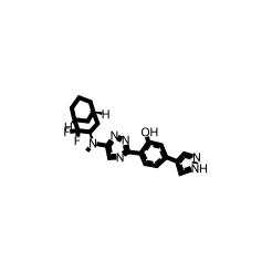 CN(c1cnc(-c2ccc(-c3cn[nH]c3)cc2O)nn1)[C@@H]1C[C@H]2CCC[C@@H](C2)C1(F)F